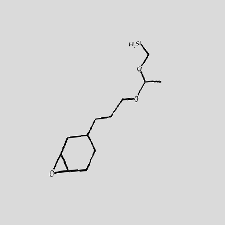 CC(OC[SiH3])OCCCC1CCC2OC2C1